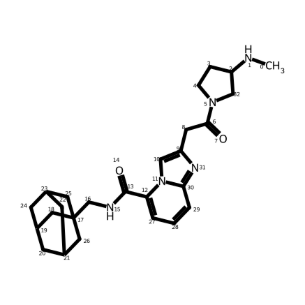 CNC1CCN(C(=O)Cc2cn3c(C(=O)NCC45CC6CC(CC(C6)C4)C5)cccc3n2)C1